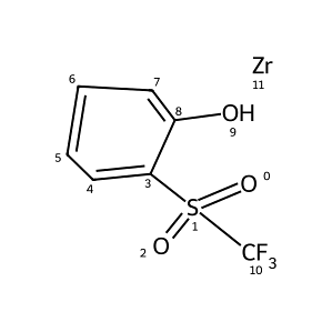 O=S(=O)(c1ccccc1O)C(F)(F)F.[Zr]